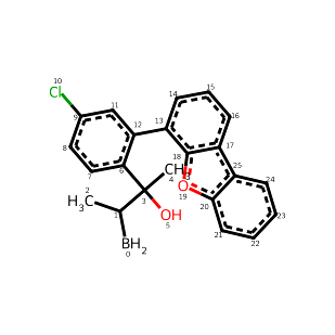 BC(C)C(C)(O)c1ccc(Cl)cc1-c1cccc2c1oc1ccccc12